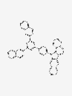 c1ccc2cc(-c3nc(-c4ccc(-n5c6cc7ccccc7cc6c6ccc7ccccc7c65)cc4)nc(-c4ccc5ccccc5c4)n3)ccc2c1